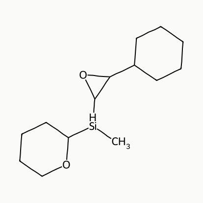 C[SiH](C1CCCCO1)C1OC1C1CCCCC1